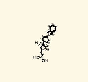 NC(CCCCB(O)O)(C(=O)O)C1CCC(n2cc3ccccc3c2)CC1